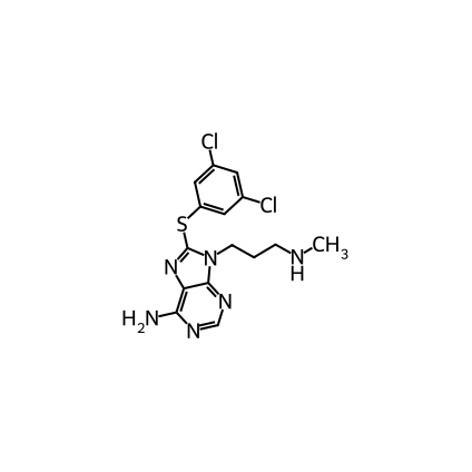 CNCCCn1c(Sc2cc(Cl)cc(Cl)c2)nc2c(N)ncnc21